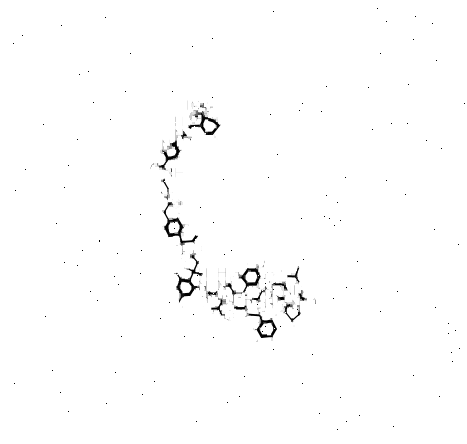 C=C(OC(=O)CC(C)(C)c1c(C)cc(C)cc1NC(=O)[C@H](CC(C)C)NC(=O)[C@H](Cc1ccc(O)cc1)NC(=O)[C@H](CCc1ccccc1)NC(=O)CNC(=O)[C@H](CC(C)C)NC(=O)[C@@H]1CCCN1C(C)=O)C(=O)c1ccc(CC(=O)NCCNC(=O)c2ccc(NN=Cc3ccccc3S(=O)(=O)O)nc2)cc1